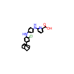 O=C(O)c1cccc(Nc2ccc(Nc3ccc(C45CC6CC(CC(C6)C4)C5)cc3Cl)cc2)n1